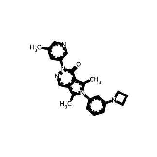 Cc1cncc(-n2ncc3c(C)n(-c4cccc(N5CCC5)c4)c(C)c3c2=O)c1